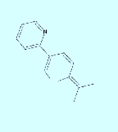 C/C=C(\C=C/C(C)=C(C)C)c1ccccn1